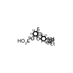 CCS(=O)(=O)Nc1ccc(Oc2cc(F)ccc2OCC(=O)O)c(Cl)c1